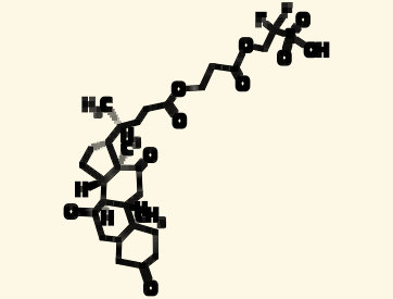 C[C@H](CCC(=O)OCCC(=O)OCC(F)(F)S(=O)(=O)O)[C@H]1CC[C@H]2[C@@H]3C(=O)CC4CC(=O)CC[C@]4(C)[C@H]3CC(=O)[C@]12C